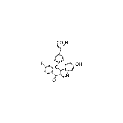 O=C(O)/C=C/c1ccc(Oc2c(C(=O)c3ccc(F)cc3)cnc3cc(O)ccc23)cc1